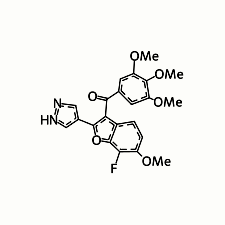 COc1cc(C(=O)c2c(-c3cn[nH]c3)oc3c(F)c(OC)ccc23)cc(OC)c1OC